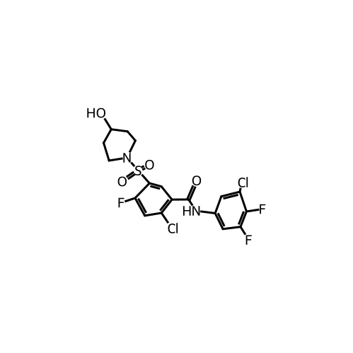 O=C(Nc1cc(F)c(F)c(Cl)c1)c1cc(S(=O)(=O)N2CCC(O)CC2)c(F)cc1Cl